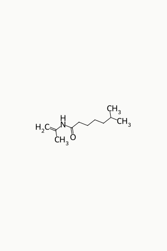 C=C(C)NC(=O)CCCCC(C)C